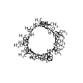 CC(C)C[C@@H]1C(=O)N(C)[C@H](CC(C)C)C(=O)N(C)[C@H](C(C)C)C(=O)N(C)[C@H]([C@@H]2OCC[C@H]2C)C(=O)N[C@H]([C@@H](C)O)C(=O)N(C)[C@H](C)C(=O)N(C)[C@@H](CC(C)C)C(=O)N[C@H](C(C)C)C(=O)N(C)[C@H](CC(C)C)C(=O)N[C@H](C)C(=O)N[C@@H](C)C(=O)N1C